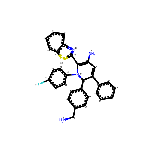 NCc1ccc(C2C(c3ccccc3)=CC(N)=C(c3nc4ccccc4s3)N2c2ccc(F)cc2)cc1